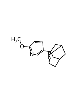 COc1ccc(C23CC4CC(CC(C4)N2)C3)cn1